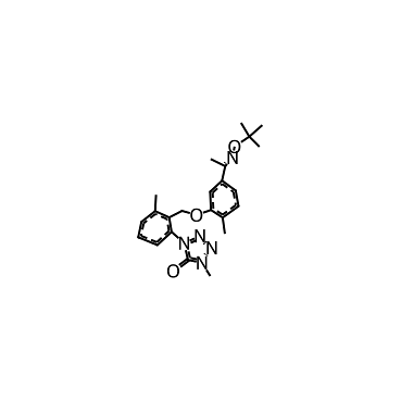 C/C(=N\OC(C)(C)C)c1ccc(C)c(OCc2c(C)cccc2-n2nnn(C)c2=O)c1